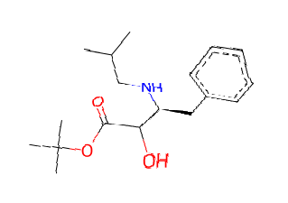 CC(C)CN[C@@H](Cc1ccccc1)C(O)C(=O)OC(C)(C)C